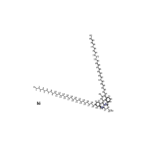 CCCCCCCCCCCCCCCCCCCCCCCCCCCCCCc1cccc(/N=C(CCCC)\C(CCCCC)=N\c2cccc(CCCCCCCCCCCCCCCCCCCCCCCCCCCCCC)c2)c1.[Ni]